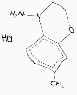 Cc1ccc2c(c1)OCCN2N.Cl